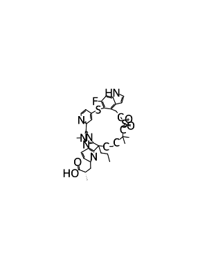 CCCC1(c2cccc(C[C@H](C)C(=O)O)n2)CCCC(C)(C)CS(=O)(=O)CCc2c(c(F)cc3[nH]ccc23)Sc2ccnc(c2)-c2nc1nn2C